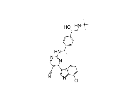 C[C@H](Nc1ncc(C#N)c(-c2cnc3c(Cl)cccn23)n1)c1ccc([C@H](O)CNC(C)(C)C)cc1